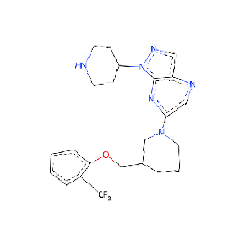 FC(F)(F)c1ccccc1OCC1CCCN(c2cnc3cnn(C4CCNCC4)c3n2)C1